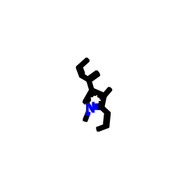 C=C(/C=C\C)c1cn(C)c(/C=C\C)c1C